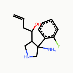 C=CCC(O)C1CNCC1(N)c1ccccc1F